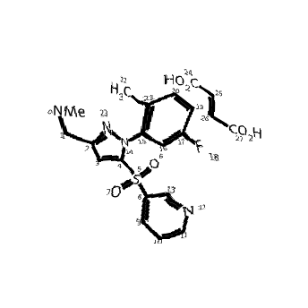 CNCc1cc(S(=O)(=O)c2cccnc2)n(-c2cc(F)ccc2C)n1.O=C(O)/C=C/C(=O)O